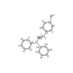 Fc1ccc(/C=N/C(c2ccccc2)c2ccccc2)cc1